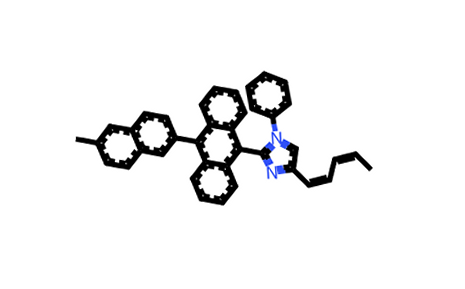 C/C=C\C=C/c1cn(-c2ccccc2)c(-c2c3ccccc3c(-c3ccc4cc(C)ccc4c3)c3ccccc23)n1